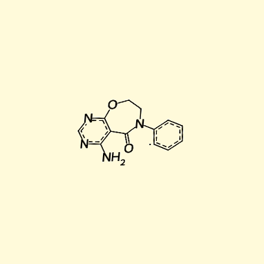 Nc1ncnc2c1C(=O)N(c1[c]cccc1)CCO2